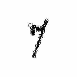 COCCOCCOCCOCCOCCOCCOCCCOc1nn(C2CCC(N3CCOCC3)CC2)cc1Nc1ncc(-c2ccc(Cl)c(O[C@@H](C)Cn3cnnn3)c2)cn1